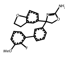 COc1cccc(-c2cccc(C3(c4ccc5c(c4)CCO5)COC(N)=N3)c2)c1F